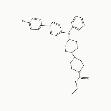 CCOC(=O)N1CCC(N2CCC(=C(c3ccccc3)c3ccc(-c4ccc(F)cc4)cc3)CC2)CC1